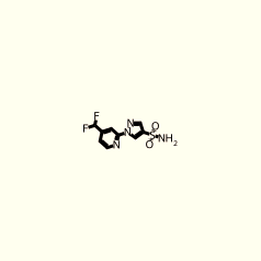 NS(=O)(=O)c1cnn(-c2cc(C(F)F)ccn2)c1